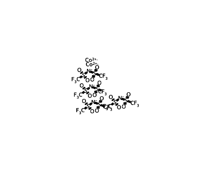 O=S(=O)([N-]S(=O)(=O)C(F)(F)F)C(F)(F)F.O=S(=O)([N-]S(=O)(=O)C(F)(F)F)C(F)(F)F.O=S(=O)([N-]S(=O)(=O)C(F)(F)F)C(F)(F)F.O=S(=O)([N-]S(=O)(=O)C(F)(F)F)C(F)(F)F.[Co+2].[Co+2]